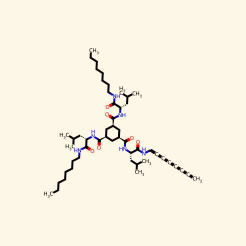 C=C=C=C=C=C=C=CNC(=O)[C@H](CC(C)C)NC(=O)[C@H]1C[C@@H](C(=O)N[C@@H](CC(C)C)C(=O)NCCCCCCCC)C[C@@H](C(=O)N[C@@H](CC(C)C)C(=O)NCCCCCCCC)C1